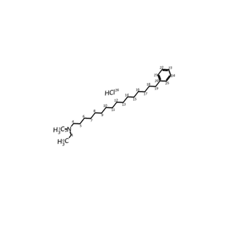 CCN(C)CCCCCCCCCCCCCCCCc1ccccc1.Cl